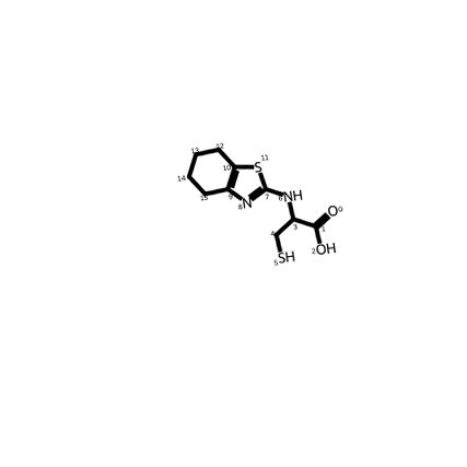 O=C(O)C(CS)Nc1nc2c(s1)CCCC2